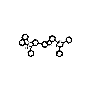 O=P1(c2ccccc2)N(c2ccccc2)c2ccc(-c3ccc4sc5c(-c6nc(-c7ccccc7)cc(-c7ccccc7)n6)cccc5c4c3)cc2N1c1ccccc1